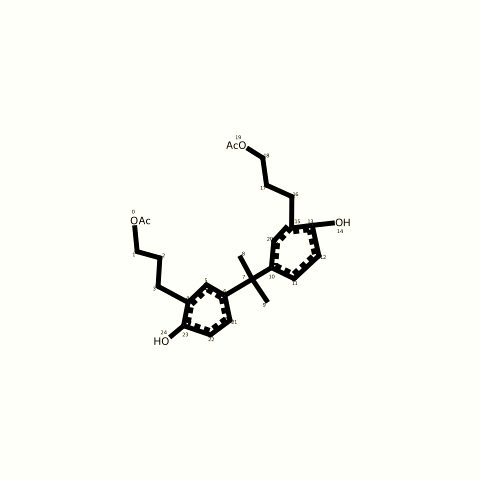 CC(=O)OCCCc1cc(C(C)(C)c2ccc(O)c(CCCOC(C)=O)c2)ccc1O